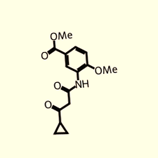 COC(=O)c1ccc(OC)c(NC(=O)CC(=O)C2CC2)c1